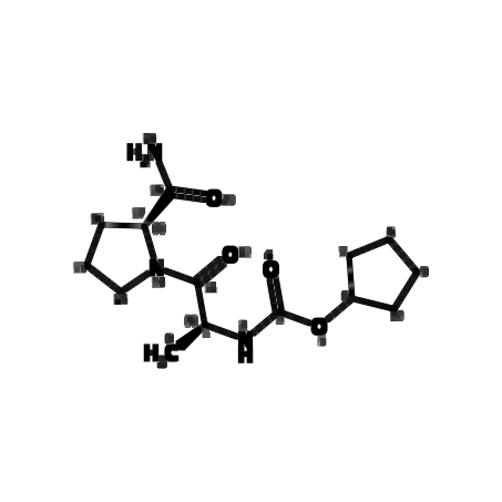 C[C@H](NC(=O)OC1CCCC1)C(=O)N1CCC[C@H]1C(N)=O